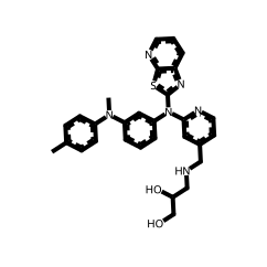 Cc1ccc(N(C)c2cccc(N(c3cc(CNCC(O)CO)ccn3)c3nc4cccnc4s3)c2)cc1